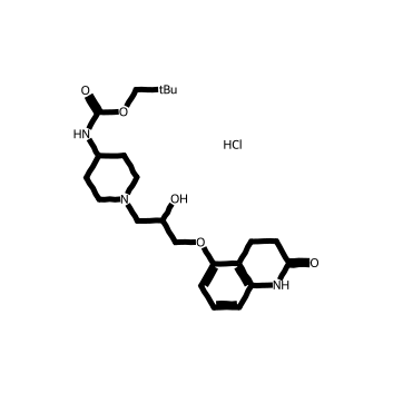 CC(C)(C)COC(=O)NC1CCN(CC(O)COc2cccc3c2CCC(=O)N3)CC1.Cl